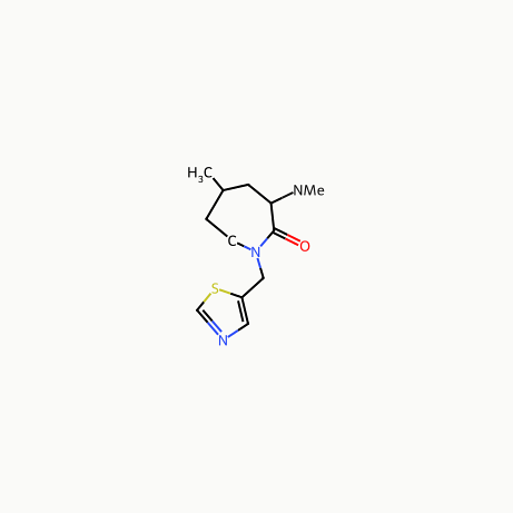 CNC1CC(C)CCN(Cc2cncs2)C1=O